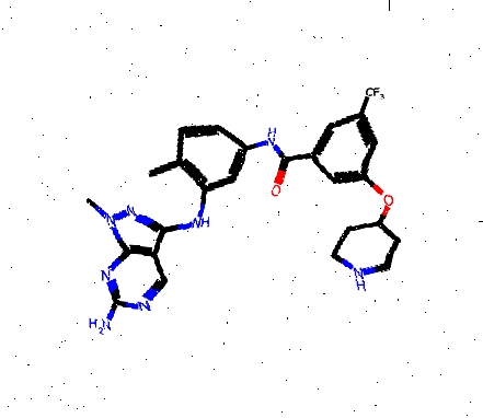 Cc1ccc(NC(=O)c2cc(OC3CCNCC3)cc(C(F)(F)F)c2)cc1Nc1nn(C)c2nc(N)ncc12